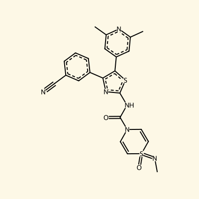 CN=S1(=O)C=CN(C(=O)Nc2nc(-c3cccc(C#N)c3)c(-c3cc(C)nc(C)c3)s2)C=C1